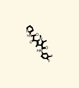 Cc1c(C(=O)Nc2ccc(F)c(F)c2)c(C)n(C)c1C(=O)C(=O)Nc1ccccn1